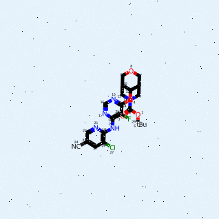 CC(C)(C)OC(=O)N1CC2COCC(C1)C2Oc1ncnc(Nc2ncc(C#N)cc2Cl)c1F